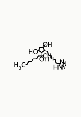 CCCCCCCC(C)(O)[C@H]1[C@H](CCCCCCc2nnn[nH]2)[C@H](O)C[C@@H]1O